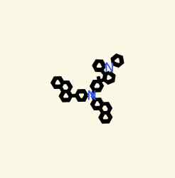 CC1(c2cccc3c2c2ccccc2n3-c2ccccc2)C=CC(N(c2ccc(-c3cccc4c3ccc3ccccc34)cc2)c2ccc3c(ccc4ccccc43)c2)=CC1